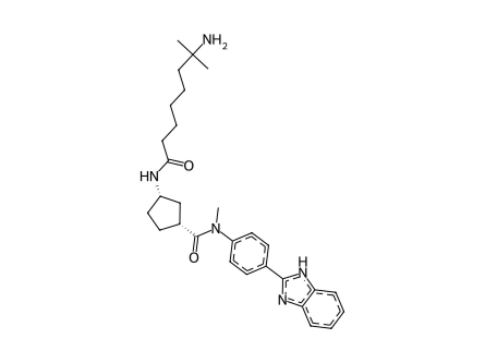 CN(C(=O)[C@@H]1CC[C@H](NC(=O)CCCCCC(C)(C)N)C1)c1ccc(-c2nc3ccccc3[nH]2)cc1